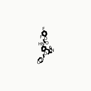 Cc1cnn(C)c1-c1cc(NC(=O)COc2ccc(F)cc2F)ccc1OCCN1CCOCC1